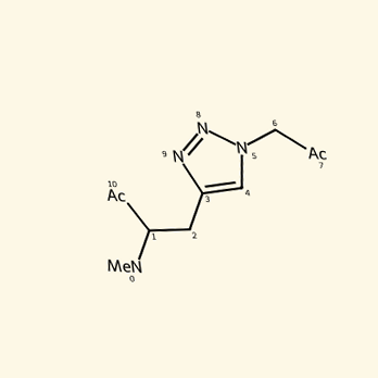 CNC(Cc1cn(CC(C)=O)nn1)C(C)=O